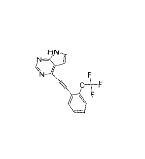 FC(F)(F)Oc1ccccc1C#Cc1ncnc2[nH]ccc12